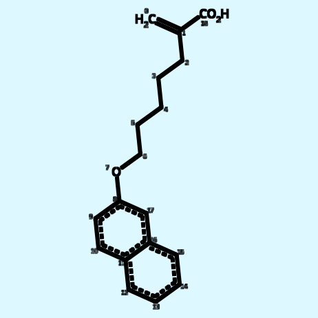 C=C(CCCCCOc1ccc2ccccc2c1)C(=O)O